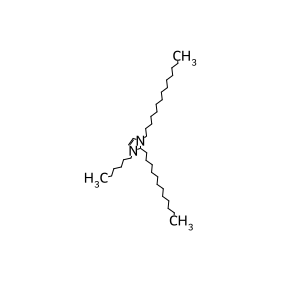 CCCCCCCCCCCCCCN1C=CN(CCCCCC)C1CCCCCCCCCCCC